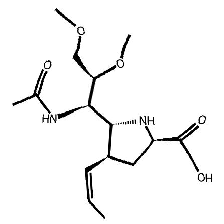 C/C=C\[C@@H]1C[C@H](C(=O)O)N[C@H]1[C@@H](NC(C)=O)[C@@H](COC)OC